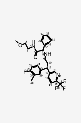 COCCNC(=O)[C@@H](NCC[C@@H](c1ccc(C(F)(F)F)nc1)c1ccc(F)c(C)c1)c1ccccc1